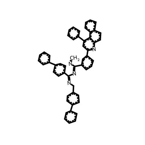 C=N/C(=N\C(=N/Cc1ccc(-c2ccccc2)cc1)c1ccc(-c2ccccc2)cc1)c1cccc(-c2cc(-c3ccccc3)c3c(ccc4ccccc43)n2)c1